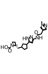 Cn1cc(CC(=O)Nc2cc(C3CCC(C[C@H]4CCN4C(=O)O)C3)[nH]n2)cn1